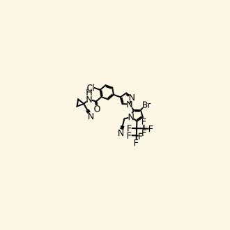 N#CCn1c(C(F)(C(F)(F)F)C(F)(F)F)cc(Br)c1-n1cc(-c2ccc(Cl)c(C(=O)NC3(C#N)CC3)c2)cn1